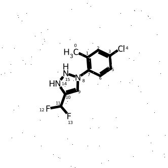 Cc1cc(Cl)ccc1N1C=C(C(F)F)NN1